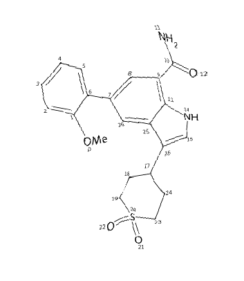 COc1ccccc1-c1cc(C(N)=O)c2[nH]cc(C3CCS(=O)(=O)CC3)c2c1